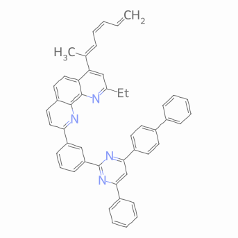 C=C/C=C\C=C(/C)c1cc(CC)nc2c1ccc1ccc(-c3cccc(-c4nc(-c5ccccc5)cc(-c5ccc(-c6ccccc6)cc5)n4)c3)nc12